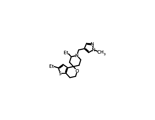 CCc1cc2c(s1)CCOC21CCN(Cc2cnn(C)c2)C(CC)C1